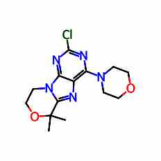 CC1(C)OCCn2c1nc1c(N3CCOCC3)nc(Cl)nc12